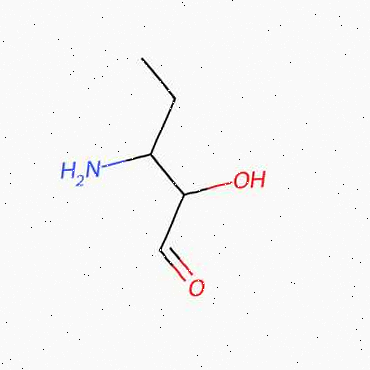 CCC(N)C(O)C=O